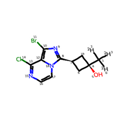 [2H]C([2H])([2H])[C@]1(O)C[C@@H](c2nc(Br)c3c(Cl)nccn32)C1